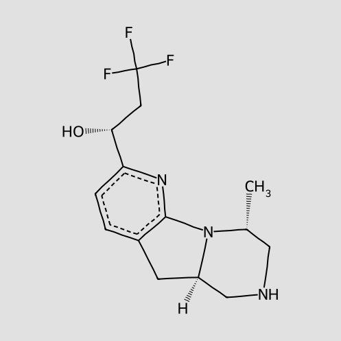 C[C@@H]1CNC[C@H]2Cc3ccc([C@H](O)CC(F)(F)F)nc3N21